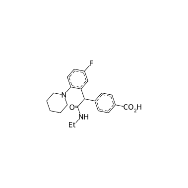 CCNC(=O)C(c1ccc(C(=O)O)cc1)c1cc(F)ccc1N1CCCCC1